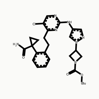 CC(C)(C)OC(=O)N1CC(n2cc(Nc3ncc(Cl)c(CCc4ccccc4C4(C(N)=O)CC4)n3)cn2)C1